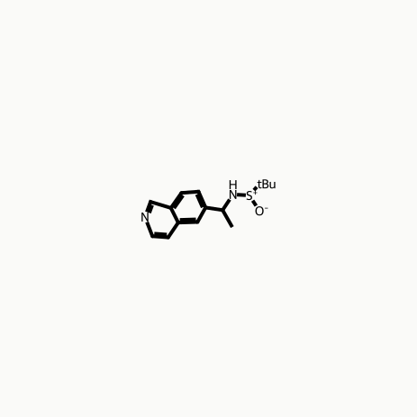 CC(N[S+]([O-])C(C)(C)C)c1ccc2cnccc2c1